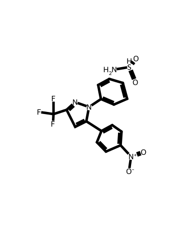 N[SH](=O)=O.O=[N+]([O-])c1ccc(-c2cc(C(F)(F)F)nn2-c2ccccc2)cc1